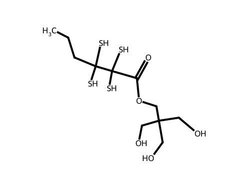 CCCC(S)(S)C(S)(S)C(=O)OCC(CO)(CO)CO